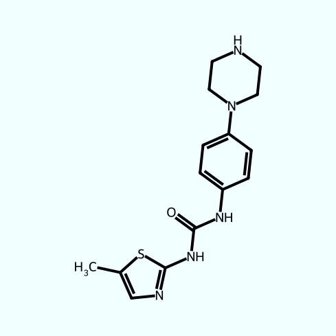 Cc1cnc(NC(=O)Nc2ccc(N3CCNCC3)cc2)s1